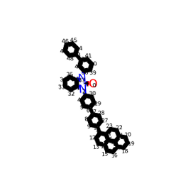 O=c1n(-c2ccc(-c3ccc(-c4ccc5ccc6cccc7ccc4c5c67)cc3)cc2)c2ccccc2n1-c1cccc(-c2ccccc2)c1